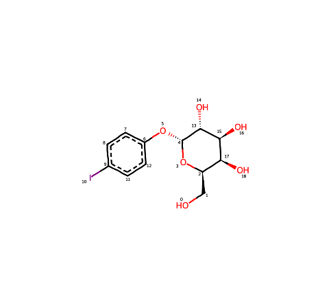 OC[C@H]1O[C@H](Oc2ccc(I)cc2)[C@H](O)[C@@H](O)[C@H]1O